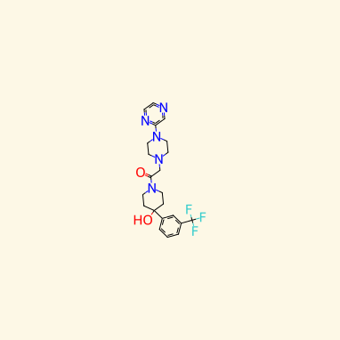 O=C(CN1CCN(c2cnccn2)CC1)N1CCC(O)(c2cccc(C(F)(F)F)c2)CC1